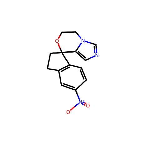 O=[N+]([O-])c1ccc2c(c1)CCC21OCCn2cncc21